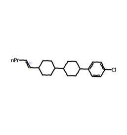 CCC/C=C/C1CCC(C2CCC(c3ccc(Cl)cc3)CC2)CC1